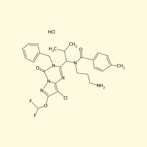 Cc1ccc(C(=O)N(CCCN)C(c2nc3c(Cl)c(OC(F)F)nn3c(=O)n2Cc2ccccc2)C(C)C)cc1.Cl